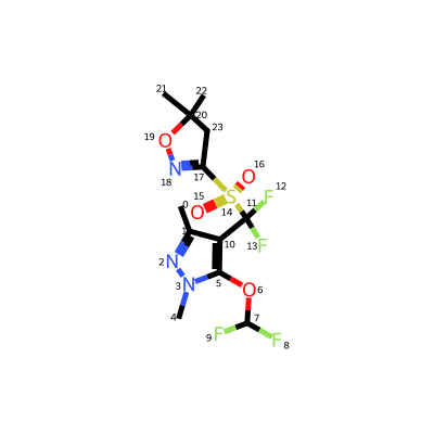 Cc1nn(C)c(OC(F)F)c1C(F)(F)S(=O)(=O)C1=NOC(C)(C)C1